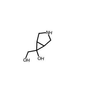 OCC1(O)C2CNCC21